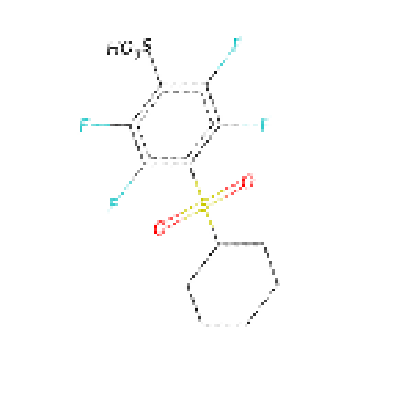 O=S(=O)(O)c1c(F)c(F)c(S(=O)(=O)C2CCCCC2)c(F)c1F